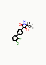 CC1(C)NC(=O)C(c2ccc(-c3cccc(Cl)c3Cl)cc2)C1=O